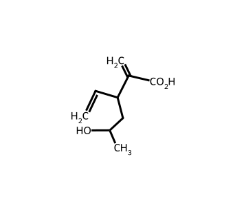 C=CC(CC(C)O)C(=C)C(=O)O